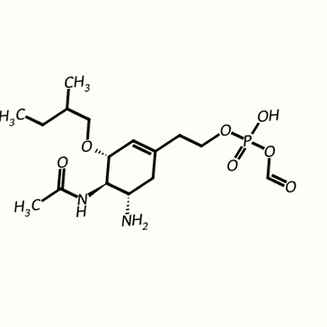 CCC(C)CO[C@@H]1C=C(CCOP(=O)(O)OC=O)C[C@H](N)[C@H]1NC(C)=O